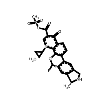 C[C@H]1NCc2cc(-c3ccc4c(=O)c(C(=O)OS(C)(=O)=O)cn(C5CC5)c4c3OC(F)F)ccc21.O